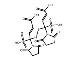 O=C(O)C=CC(SSC(C=CC(=O)O)(N1C(=O)CCC1=O)S(=O)(=O)O)(N1C(=O)CCC1=O)S(=O)(=O)O